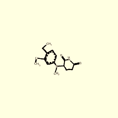 CCc1ccc(N(C)C2CCC(=O)NC2=O)cc1OC